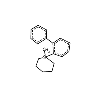 C[Si]1(c2ccccc2-c2ccccc2)CCCCC1